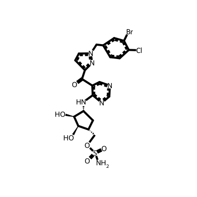 NS(=O)(=O)OC[C@H]1C[C@@H](Nc2ncncc2C(=O)c2ccn(Cc3ccc(Cl)c(Br)c3)n2)[C@H](O)[C@@H]1O